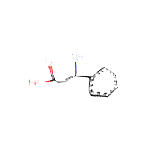 N/C(=C\C(=O)O)c1ccccc1